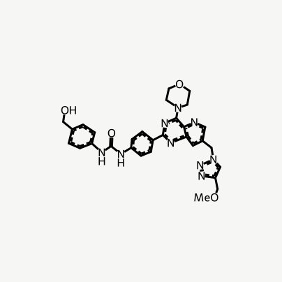 COCc1cn(Cc2cnc3c(N4CCOCC4)nc(-c4ccc(NC(=O)Nc5ccc(CO)cc5)cc4)nc3c2)nn1